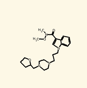 CON(C)C(=O)c1cn(CCCN2CCN(CC3CCCO3)CC2)c2ccccc12